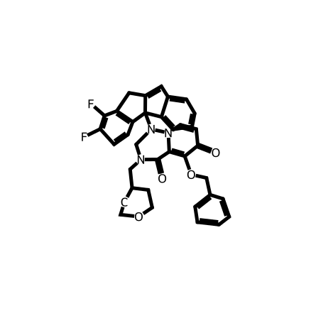 O=C1c2c(OCc3ccccc3)c(=O)ccn2N(C23C(=Cc4ccccc42)Cc2c3ccc(F)c2F)CN1CC1CCOCC1